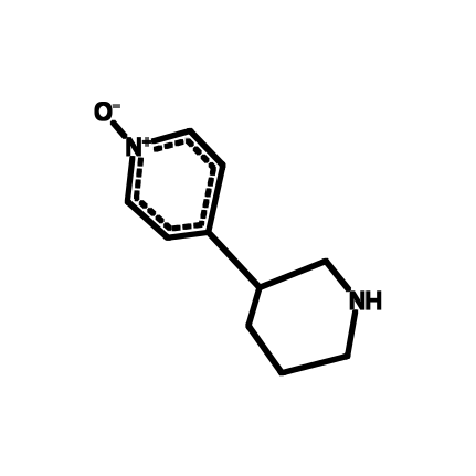 [O-][n+]1ccc(C2CCCNC2)cc1